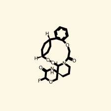 O=C1N[C@@]2(CCCN3C(=O)COc4ccccc4[C@H]4CC[C@H](CC4)OC[C@@H]32)COC1F